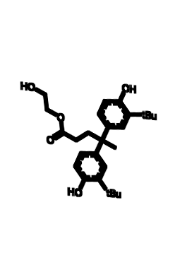 CC(C)(C)c1cc(C(C)(CCC(=O)OCCO)c2ccc(O)c(C(C)(C)C)c2)ccc1O